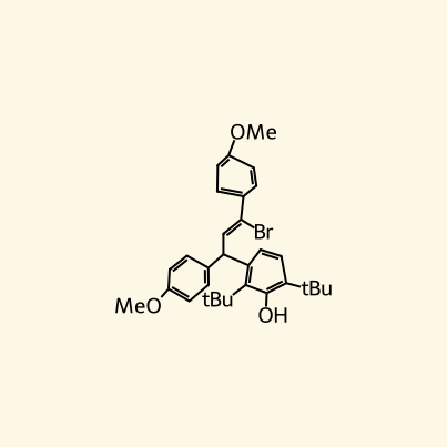 COc1ccc(C(Br)=CC(c2ccc(OC)cc2)c2ccc(C(C)(C)C)c(O)c2C(C)(C)C)cc1